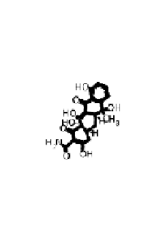 CC1(O)c2cccc(O)c2C(=O)C2=C(O)[C@]3(O)C(=O)C(C(N)=O)=C(O)C[C@@H]3C[C@@H]21